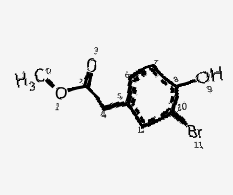 COC(=O)[CH]c1ccc(O)c(Br)c1